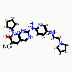 N#Cc1cc2cnc(Nc3ccc(NCCN4CCCC4)cn3)nc2n(C2CCCC2)c1=O